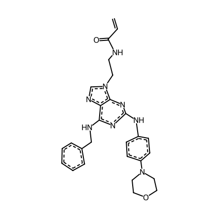 C=CC(=O)NCCn1cnc2c(NCc3ccccc3)nc(Nc3ccc(N4CCOCC4)cc3)nc21